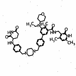 CCN(c1cc(-c2ccc(CN3CCN(Cc4ccc(NC5CCC(=O)NC5=O)cc4)CC3)cc2)cc(C(=O)NCc2c(C)cc(C)[nH]c2=O)c1C)C1CCOCC1